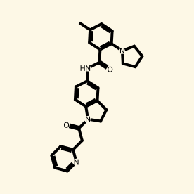 Cc1ccc(N2CCCC2)c(C(=O)Nc2ccc3c(c2)CCN3C(=O)Cc2ccccn2)c1